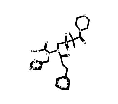 COC(=O)[C@H](Cc1c[nH]cn1)N(CS(=O)(=O)C(C)(C)C(=O)N1CCOCC1)C(=O)CCc1ccccc1